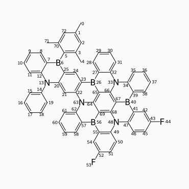 Cc1cc(C)c(B2c3ccccc3N(c3ccccc3)c3cc4c(cc32)B2c3ccccc3N3c5ccccc5B5c6cc(F)ccc6N6c7ccc(F)cc7B7c8ccccc8N4c4c2c3c5c6c47)c(C)c1